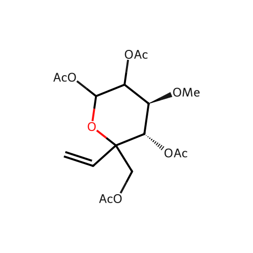 C=CC1(COC(C)=O)OC(OC(C)=O)C(OC(C)=O)[C@@H](OC)[C@@H]1OC(C)=O